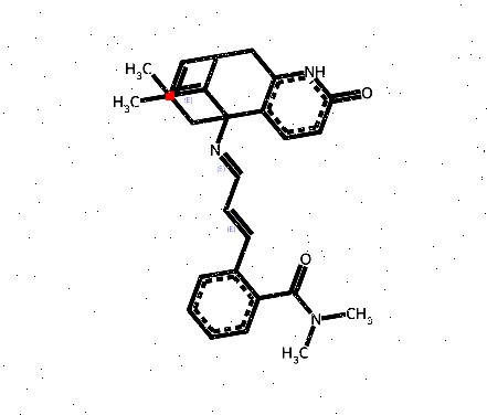 C/C=C1\C2C=C(C)CC1(/N=C/C=C/c1ccccc1C(=O)N(C)C)c1ccc(=O)[nH]c1C2